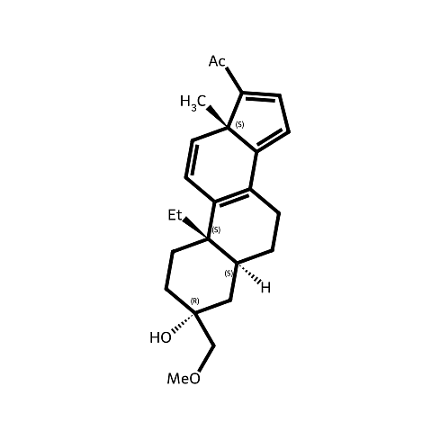 CC[C@]12CC[C@](O)(COC)C[C@@H]1CCC1=C2C=C[C@]2(C)C(C(C)=O)=CC=C12